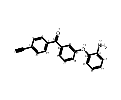 C#Cc1ccc(C(=O)c2cccc(Oc3ccccc3N)c2)cc1